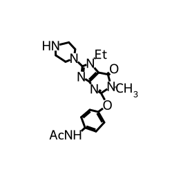 CCn1c(N2CCNCC2)nc2nc(Oc3ccc(NC(C)=O)cc3)n(C)c(=O)c21